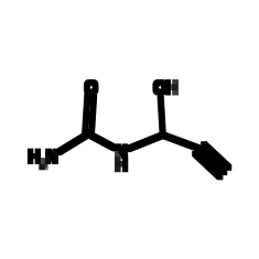 C#CC(O)NC(N)=O